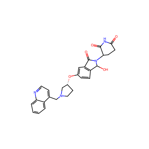 O=C1CCC(N2C(=O)c3cc(O[C@@H]4CCN(Cc5ccnc6ccccc56)C4)ccc3C2O)C(=O)N1